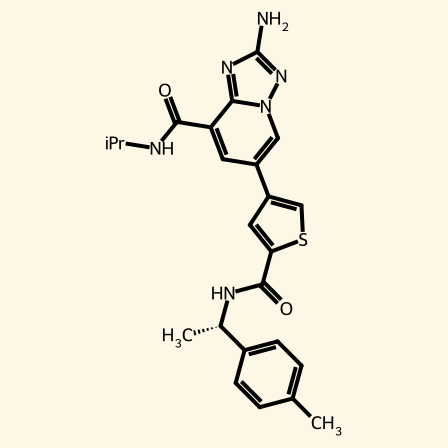 Cc1ccc([C@H](C)NC(=O)c2cc(-c3cc(C(=O)NC(C)C)c4nc(N)nn4c3)cs2)cc1